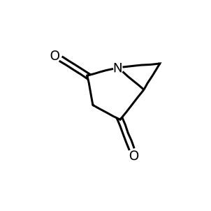 O=C1CC(=O)N2CC12